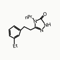 CCCn1c(CCc2cccc(CC)c2)n[nH]c1=O